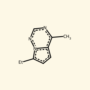 CCc1ccc2c(C)ncnn12